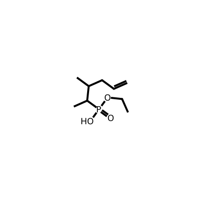 C=CCC(C)C(C)P(=O)(O)OCC